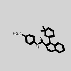 CC1(C)C=CC=C(c2c(C(=S)Nc3ccc(C(=O)O)cc3)ccc3ccccc23)C1